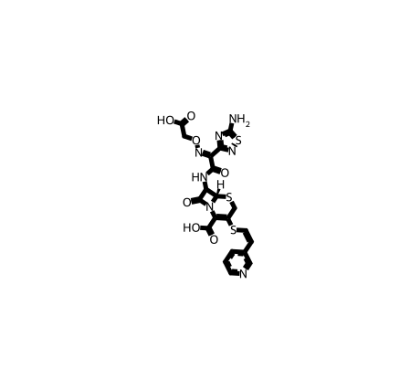 Nc1nc(C(=NOCC(=O)O)C(=O)NC2C(=O)N3C(C(=O)O)=C(S/C=C\c4cccnc4)CS[C@@H]23)ns1